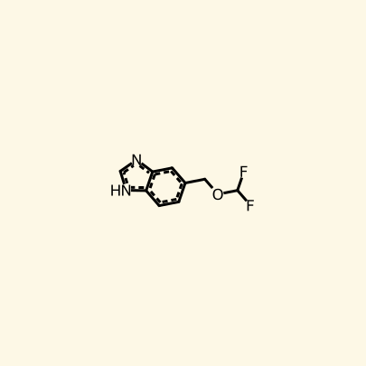 FC(F)OCc1ccc2[nH]cnc2c1